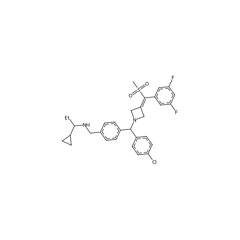 CCC(NCc1ccc(C(c2ccc(Cl)cc2)N2CC(=C(c3cc(F)cc(F)c3)S(C)(=O)=O)C2)cc1)C1CC1